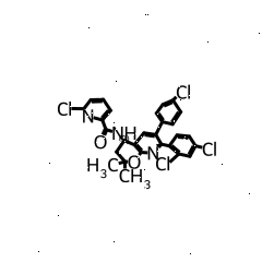 CC1(C)C[C@@H](NC(=O)c2cccc(Cl)n2)c2cc(-c3ccc(Cl)cc3)c(-c3ccc(Cl)cc3Cl)nc2O1